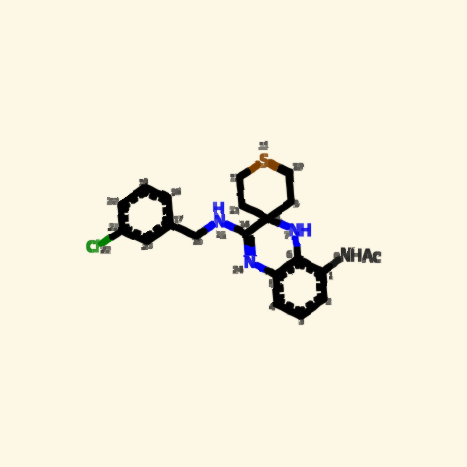 CC(=O)Nc1cccc2c1NC1(CCSCC1)C(NCc1cccc(Cl)c1)=N2